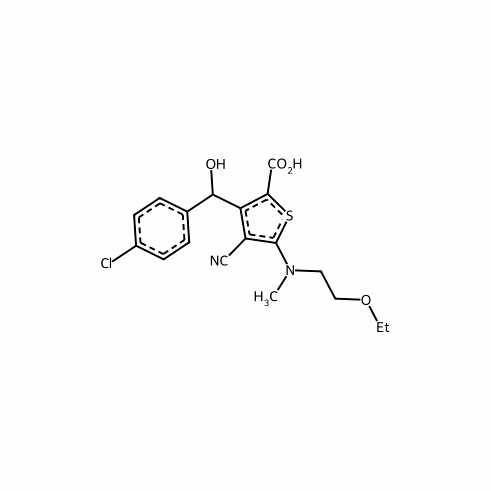 CCOCCN(C)c1sc(C(=O)O)c(C(O)c2ccc(Cl)cc2)c1C#N